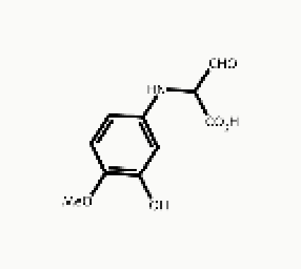 COc1ccc(NC(C=O)C(=O)O)cc1O